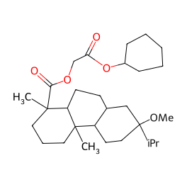 COC1(C(C)C)CCC2C(CCC3C(C)(C(=O)OCC(=O)OC4CCCCC4)CCCC23C)C1